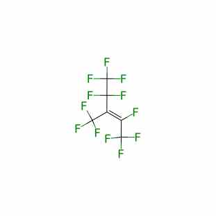 F/C(=C(/C(F)(F)F)C(F)(F)C(F)(F)F)C(F)(F)F